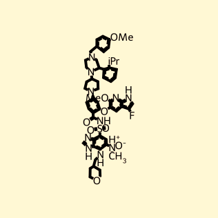 COc1ccc(CN2CCN(C3CCN(c4ccc(C(=O)NS(=O)(=O)c5cc([NH+](C)[O-])c(NCC6CCOCC6)c6[nH]cnc56)c(Oc5cc6c(F)c[nH]c6nc5OC)c4)CC3)C(c3ccccc3C(C)C)C2)cc1